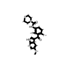 COc1cnc2[nH]cc(C(=O)c3c(F)ccc(NC(=O)N4CCOCC4)c3F)c2c1